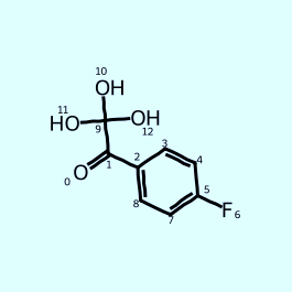 O=C(c1ccc(F)cc1)C(O)(O)O